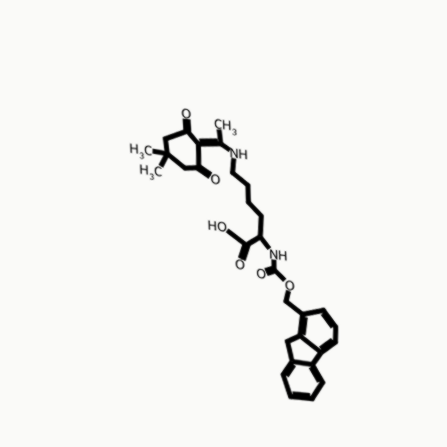 CC(NCCCCC(NC(=O)OCc1cccc2c1Cc1ccccc1-2)C(=O)O)=C1C(=O)CC(C)(C)CC1=O